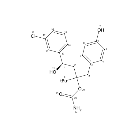 CC(C)(C)C(Cc1ccc(O)cc1)(C[C@@H](O)c1cccc(Cl)c1)OC(N)=O